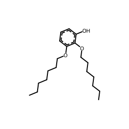 CCCCCCCOc1cccc(O)c1OCCCCCCC